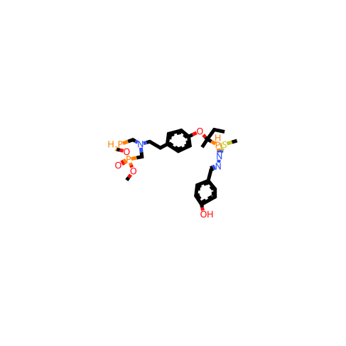 CCC(C)(Oc1ccc(CCN(CP)CP(=O)(OC)OC)cc1)[PH]1=S(C)N1N=Cc1ccc(O)cc1